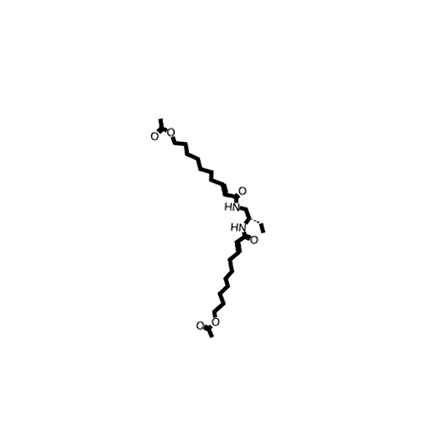 CC[C@@H](CNC(=O)/C=C/CCCCCCCOC(C)=O)NC(=O)/C=C/CCCCCCCOC(C)=O